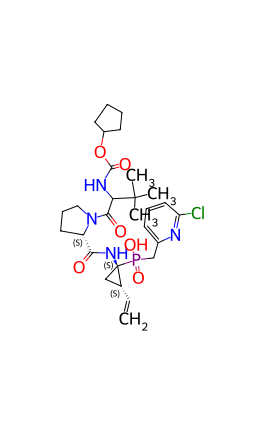 C=C[C@@H]1C[C@]1(NC(=O)[C@@H]1CCCN1C(=O)C(NC(=O)OC1CCCC1)C(C)(C)C)P(=O)(O)Cc1cccc(Cl)n1